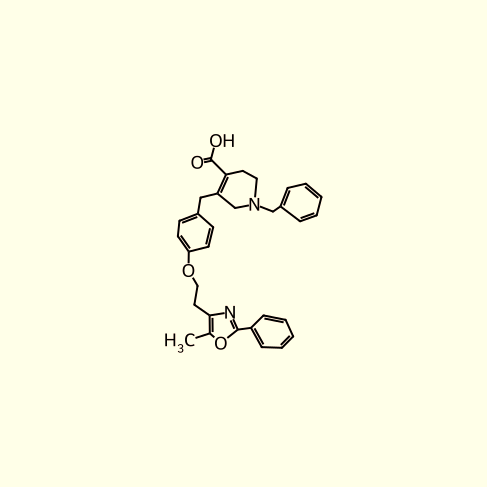 Cc1oc(-c2ccccc2)nc1CCOc1ccc(CC2=C(C(=O)O)CCN(Cc3ccccc3)C2)cc1